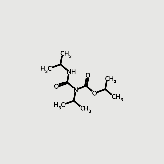 CC(C)NC(=O)N(C(=O)OC(C)C)C(C)C